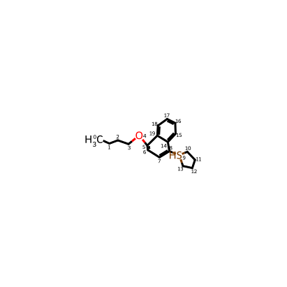 CCCCOc1ccc([SH]2CCCC2)c2ccccc12